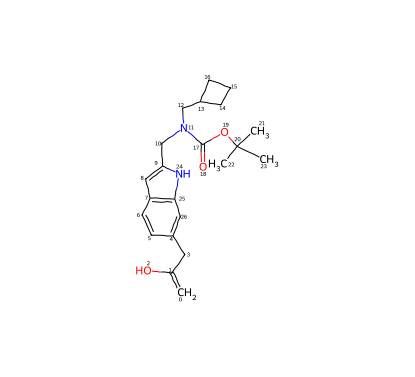 C=C(O)Cc1ccc2cc(CN(CC3CCC3)C(=O)OC(C)(C)C)[nH]c2c1